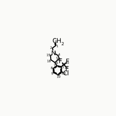 C=CCN1CCC(c2cccc(Cl)c2C(F)(F)F)CC1